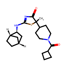 CC1(C2CCN(C(=O)C3CCC3)CC2)SC(N[C@H]2C[C@@H]3CC[C@H]2C3)=NC1=O